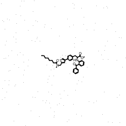 CCCCCCCC(=O)N(C)Cc1cc(-c2ccc(CC(Nc3ccccc3C(=O)c3ccccc3)C(=O)OC)cc2)cs1